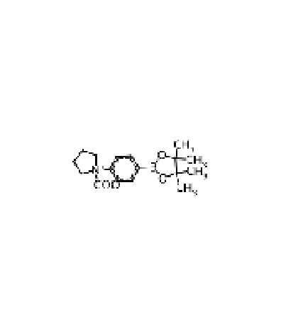 CC1(C)OB(c2ccc([N+]3(C(=O)[O-])CCCC3)cc2)OC1(C)C